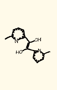 Cc1cccc(C(O)=C(O)c2cccc(C)n2)n1